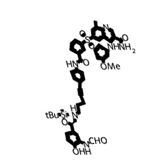 COc1cccc(Nc2c(C(N)=O)cnc3c(C)cc(S(=O)(=O)c4cccc(C(=O)Nc5ccc(C#CCCCNC[C@H](O[Si](C)(C)C(C)(C)C)c6ccc(O)c(NC=O)c6)cc5)c4)cc23)c1